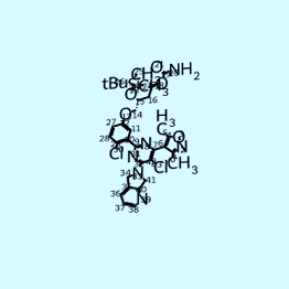 Cc1noc(C)c1-c1nc(-c2cc(OC[C@@H](CCOC(N)=O)O[Si](C)(C)C(C)(C)C)ccc2Cl)nc(N2Cc3cccnc3C2)c1Cl